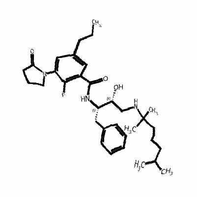 CCCc1cc(C(=O)N[C@@H](Cc2ccccc2)[C@H](O)CNC(C)(C)CCCC(C)C)c(F)c(N2CCCC2=O)c1